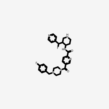 O=C(NC1CCNCC1C(F)c1ccncc1)c1ccc(C(=O)N2CCN(Cc3ccc(F)cc3)CC2)cn1